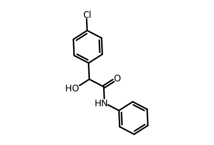 O=C(Nc1ccccc1)C(O)c1ccc(Cl)cc1